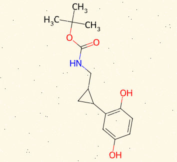 CC(C)(C)OC(=O)NCC1CC1c1cc(O)ccc1O